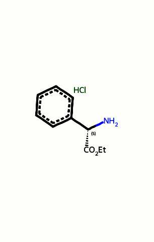 CCOC(=O)[C@@H](N)c1ccccc1.Cl